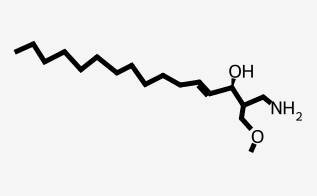 CCCCCCCCCCC/C=C/[C@@H](O)C(CN)COC